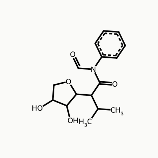 CC(C)C(C(=O)N(C=O)c1ccccc1)C1OCC(O)C1O